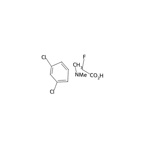 CNC.Clc1cccc(Cl)c1.O=C(O)CF